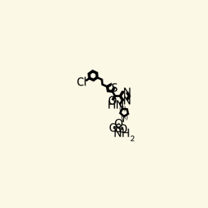 NS(=O)(=O)OC[C@@H]1CC[C@H](Nc2ncncc2C(=O)c2cc(CCc3cccc(Cl)c3)cs2)C1